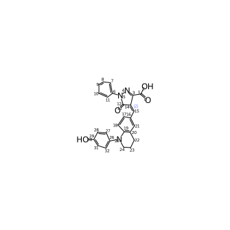 O=C(O)C1=NN(c2ccccc2)C(=O)/C1=C\c1ccc2c(c1)CCCN2c1ccc(O)cc1